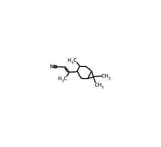 CC(=CC#N)C1CC2C(CC1C)C2(C)C